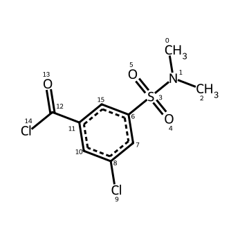 CN(C)S(=O)(=O)c1cc(Cl)cc(C(=O)Cl)c1